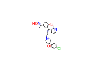 C/C(=N\O)c1ccc2c(c1)/C(=C/CCN1CCC(O)(c3ccc(Cl)cc3)CC1)c1cccnc1CO2